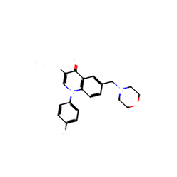 O=C(O)c1cn(-c2ccc(Cl)cc2)c2ccc(CN3CCOCC3)cc2c1=O